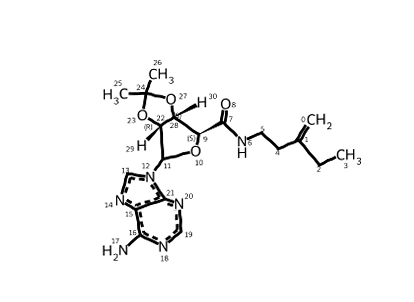 C=C(CC)CCNC(=O)[C@H]1OC(n2cnc3c(N)ncnc32)[C@@H]2OC(C)(C)O[C@H]12